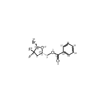 O=C(OC[C@@H]1CC(F)(F)[C@@H](Br)O1)c1ccccc1